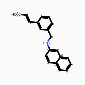 O=C(O)/C=C/c1cccc(CNc2ccc3ccccc3c2)c1